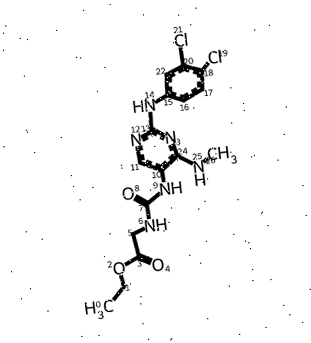 CCOC(=O)CNC(=O)Nc1cnc(Nc2ccc(Cl)c(Cl)c2)nc1NC